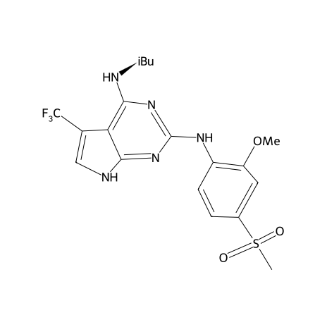 CC[C@H](C)Nc1nc(Nc2ccc(S(C)(=O)=O)cc2OC)nc2[nH]cc(C(F)(F)F)c12